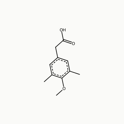 COc1c(C)cc(CC(=O)O)cc1C